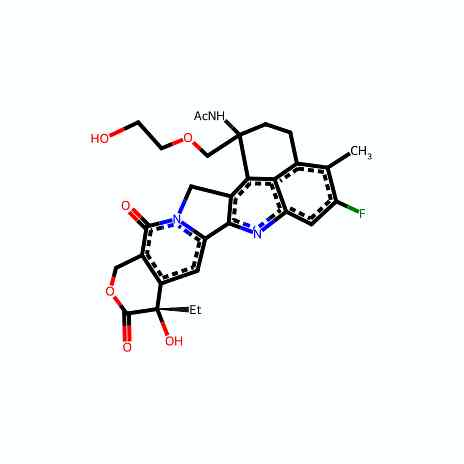 CC[C@@]1(O)C(=O)OCc2c1cc1n(c2=O)Cc2c-1nc1cc(F)c(C)c3c1c2C(COCCO)(NC(C)=O)CC3